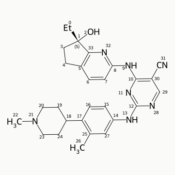 CC[C@]1(O)CCc2ccc(Nc3nc(Nc4ccc(C5CCN(C)CC5)c(C)c4)ncc3C#N)nc21